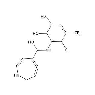 CC1C=C(C(F)(F)F)C(Cl)=C(NC(O)C2=C=CCNC=C2)C1O